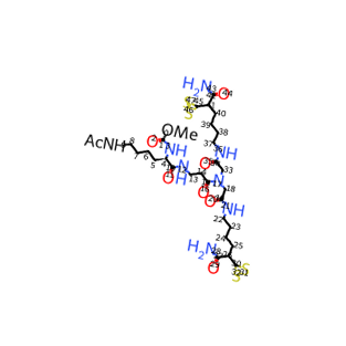 COC(=O)N[C@H](CCCCNC(C)=O)C(=O)NCCC(=O)N(CC(=O)NCCCCC(C(N)=O)C1SS1)CC(=O)NCCCCC(C(N)=O)C1SS1